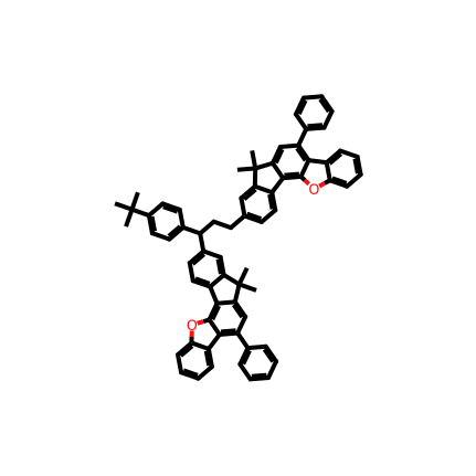 CC(C)(C)c1ccc(C(CCc2ccc3c(c2)C(C)(C)c2cc(-c4ccccc4)c4c(oc5ccccc54)c2-3)c2ccc3c(c2)C(C)(C)c2cc(-c4ccccc4)c4c(oc5ccccc54)c2-3)cc1